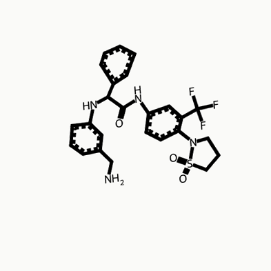 NCc1cccc(NC(C(=O)Nc2ccc(N3CCCS3(=O)=O)c(C(F)(F)F)c2)c2ccccc2)c1